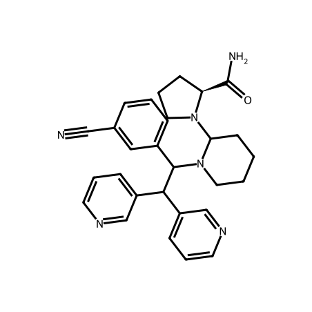 N#Cc1cccc(C(C(c2cccnc2)c2cccnc2)N2CCCCC2N2CCC[C@H]2C(N)=O)c1